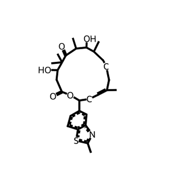 CC1=CCC(c2ccc3sc(C)nc3c2)OC(=O)CC(O)C(C)(C)C(=O)C(C)C(O)C(C)CCC1